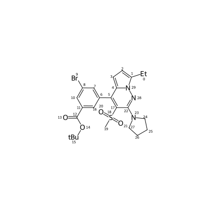 CCc1ccc2c(-c3cc(Br)cc(C(=O)OC(C)(C)C)c3)c(S(C)(=O)=O)c(N3CCCC3)nn12